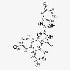 CC(NC(=O)c1nc2cc(F)ccc2[nH]1)C(Cc1ccc(Cl)cc1)c1ccc(Cl)cc1